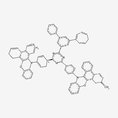 C=Cc1c2c(c3c(c1C=C)N(C1=CC[C@H](c4nc(-c5ccc(N6c7ccccc7Oc7c8c(c9ccccc9c76)C=CC(=C)C8)cc5)nc(-c5cc(C6=CC=CCC=C6)cc(-c6ccccc6)c5)n4)C=C1)c1ccccc1O3)CCC=C2